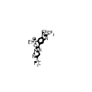 CCS(=O)(=O)c1cc2c(cc1-c1cn3cnc(SC(F)(F)F)cc3n1)nc(C(F)(F)F)n2C